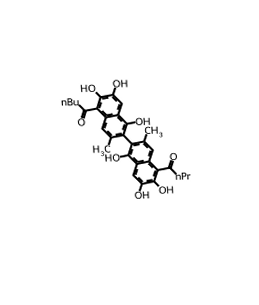 CCCCC(=O)c1c(O)c(O)cc2c(O)c(-c3c(C)cc4c(C(=O)CCC)c(O)c(O)cc4c3O)c(C)cc12